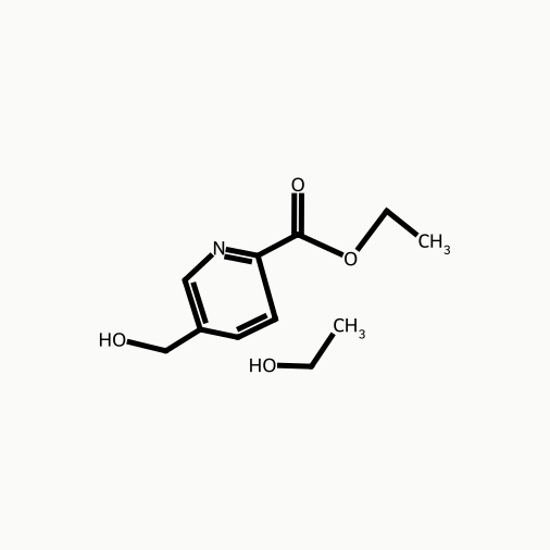 CCO.CCOC(=O)c1ccc(CO)cn1